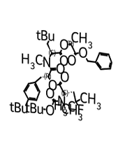 C[C@@H](OC(=O)[C@H](CC(C)(C)C)N(C)C(=O)[C@@H](Cc1ccc(C(C)(C)C)cc1)OC(=O)[C@H](CC(C)(C)F)N(C)C(=O)OC(C)(C)C)C(=O)OCc1ccccc1